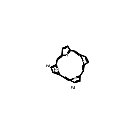 C1=Cc2cc3ccc(cc4nc(cc5ccc(cc1n2)[nH]5)C=C4)[nH]3.[Pd].[Pd]